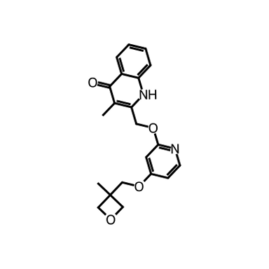 Cc1c(COc2cc(OCC3(C)COC3)ccn2)[nH]c2ccccc2c1=O